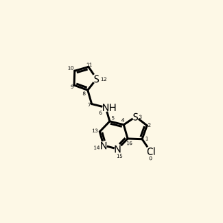 Clc1csc2c(NCc3cccs3)cnnc12